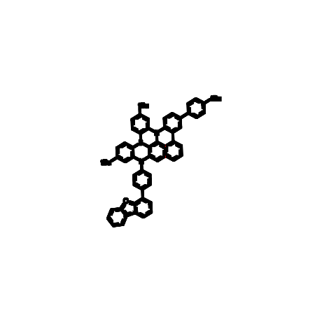 CC(C)(C)c1ccc(-c2ccc(N3c4cc(C(C)(C)C)ccc4B4c5ccc(C(C)(C)C)cc5N(c5ccc(-c6cccc7c6oc6ccccc67)cc5)c5cccc3c54)c(-c3ccccc3)c2)cc1